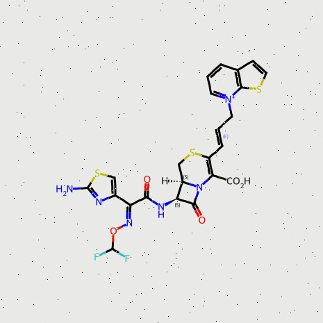 Nc1nc(C(=NOC(F)F)C(=O)N[C@@H]2C(=O)N3C(C(=O)O)=C(/C=C/C[n+]4cccc5ccsc54)SC[C@H]23)cs1